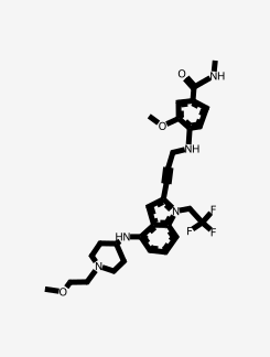 CNC(=O)c1ccc(NCC#Cc2cc3c(NC4CCN(CCOC)CC4)cccc3n2CC(F)(F)F)c(OC)c1